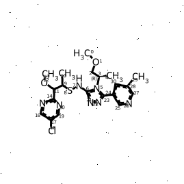 COC[C@@H](C)n1c(NSC(C)C(OC)c2ncc(Cl)cn2)nnc1-c1cncc(C)c1